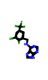 Fc1c(Cl)cc(C(F)(F)F)cc1CNc1ncnc2[nH]cnc12